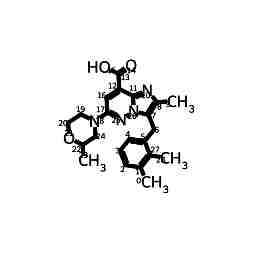 Cc1cccc(Cc2c(C)nc3c(C(=O)O)cc(N4CCOC(C)C4)nn23)c1C